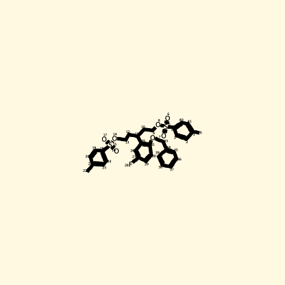 Cc1ccc(S(=O)(=O)OCCC(CCOS(=O)(=O)c2ccc(C)cc2)c2cc(F)ccc2OCc2ccccc2)cc1